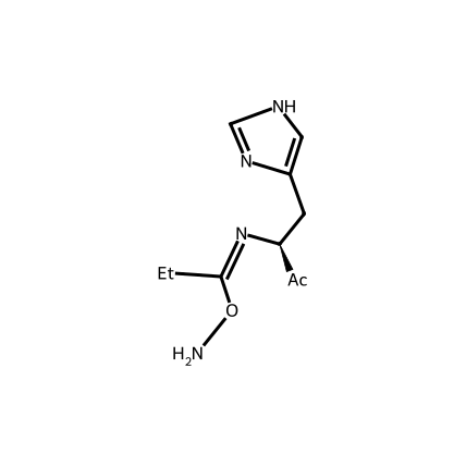 CCC(=N[C@@H](Cc1c[nH]cn1)C(C)=O)ON